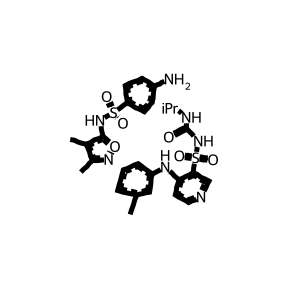 Cc1cccc(Nc2ccncc2S(=O)(=O)NC(=O)NC(C)C)c1.Cc1noc(NS(=O)(=O)c2ccc(N)cc2)c1C